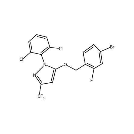 Fc1cc(Br)ccc1COc1cc(C(F)(F)F)nn1-c1c(Cl)cccc1Cl